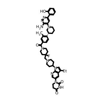 CCc1cn(C2CCN(CC3(F)CCN(C(=O)c4ccc([C@H]5CCCN(c6cc(-c7ccccc7O)nnc6N)C5)c(C)c4)CC3)CC2)c2ncc(N3CCC(=O)NC3=O)cc12